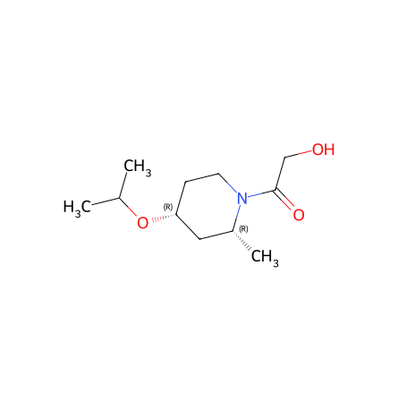 CC(C)O[C@@H]1CCN(C(=O)CO)[C@H](C)C1